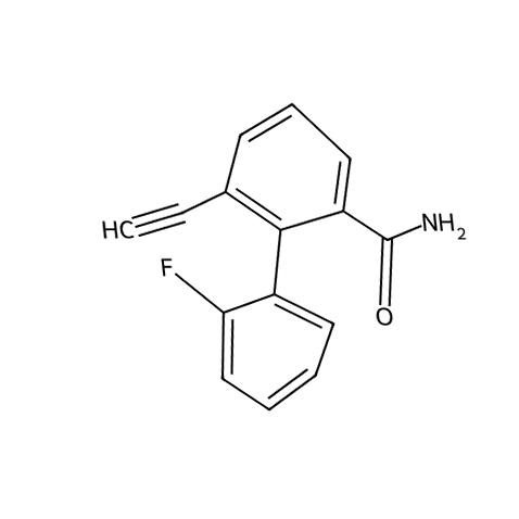 C#Cc1cccc(C(N)=O)c1-c1ccccc1F